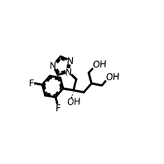 OCC(CO)C[C@](O)(Cn1cncn1)c1ccc(F)cc1F